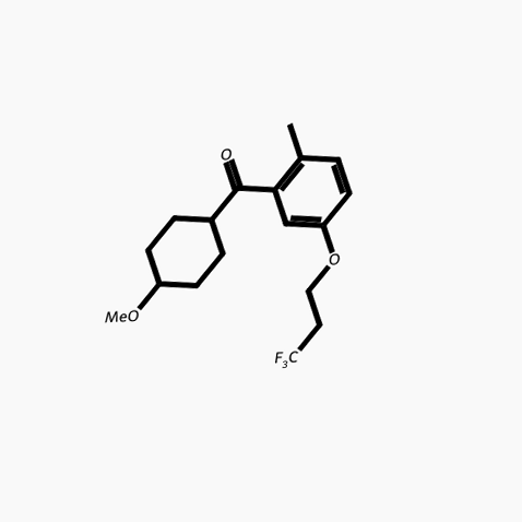 COC1CCC(C(=O)c2cc(OCCC(F)(F)F)ccc2C)CC1